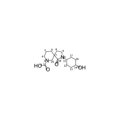 O=C(O)N1CCCC2(CCN(C3CCC(O)CC3)C2=O)C1